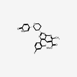 COC(=O)c1cc2c(-c3ccc(F)cc3F)nc([C@H]3CCO[C@@H](c4ccc(=O)[nH]c4)C3)nc2nc1C